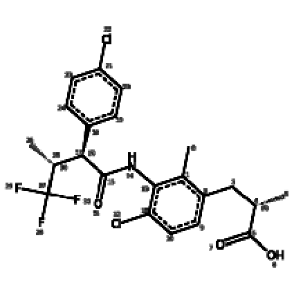 Cc1c(C[C@H](C)C(=O)O)ccc(Cl)c1NC(=O)[C@H](c1ccc(Cl)cc1)[C@@H](C)C(F)(F)F